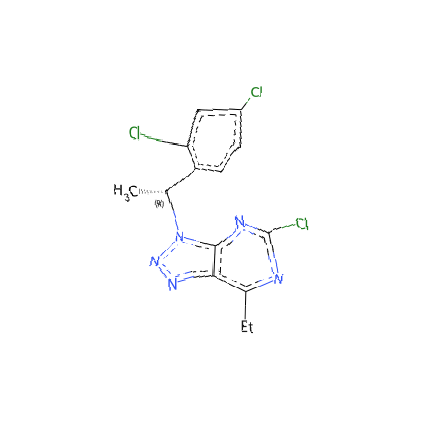 CCc1nc(Cl)nc2c1nnn2[C@H](C)c1ccc(Cl)cc1Cl